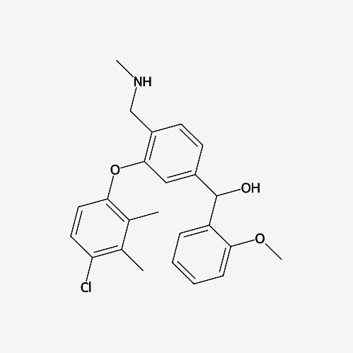 CNCc1ccc(C(O)c2ccccc2OC)cc1Oc1ccc(Cl)c(C)c1C